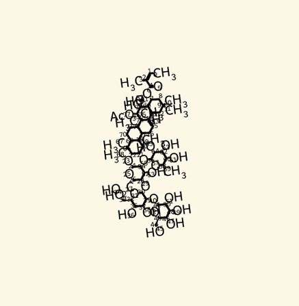 C/C=C(/C)C(=O)O[C@H]1CC(C)(C)C[C@H]2C3=CCC4[C@@]5(C)CC[C@H](O[C@@H]6O[C@H](C(=O)O)[C@@H](O[C@@H]7O[C@H](CO)[C@H](O)[C@H](O)[C@H]7O[C@@H]7O[C@H](CO)[C@@H](O)[C@H](O)[C@H]7O)[C@H](O)[C@H]6OC6O[C@@H](C)[C@H](O)[C@@H](O)[C@H]6O)C(C)(C)C5CC[C@@]4(C)[C@]3(C)[C@@H](OC(C)=O)[C@@H](O)[C@@]12CO